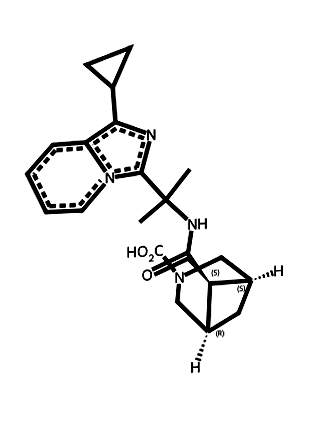 CC(C)(NC(=O)[C@H]1[C@@H]2C[C@H]1CN(C(=O)O)C2)c1nc(C2CC2)c2ccccn12